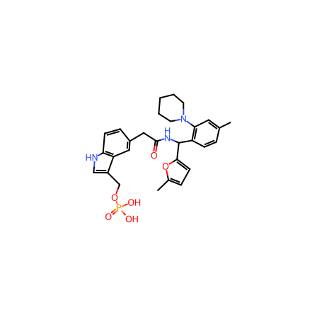 Cc1ccc(C(NC(=O)Cc2ccc3[nH]cc(COP(=O)(O)O)c3c2)c2ccc(C)o2)c(N2CCCCC2)c1